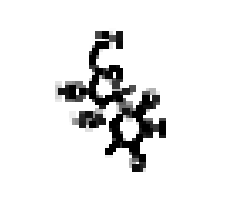 Cc1cn([C@]2(C)O[C@H](CO)[C@@H](O)[C@H]2[SeH])c(=O)[nH]c1=O